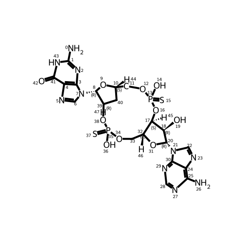 Nc1nc2c(ncn2[C@@H]2O[C@@H]3COP(O)(=S)O[C@H]4[C@@H](O)[C@H](n5cnc6c(N)ncnc65)O[C@@H]4COP(O)(=S)O[C@@H]2C3)c(=O)[nH]1